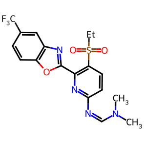 CCS(=O)(=O)c1ccc(/N=C\N(C)C)nc1-c1nc2cc(C(F)(F)F)ccc2o1